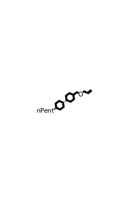 C=CCOCC1CCC([C@H]2CC[C@H](CCCCC)CC2)CC1